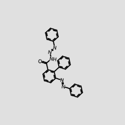 O=C(NN=Nc1ccccc1)c1cccc(N=Nc2ccccc2)c1-c1ccccc1